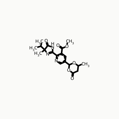 COC(=O)c1cc(C2OC(=O)CC(C)O2)cnc1C1=NC(C)(C(C)C)C(=O)N1